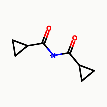 O=C([N]C(=O)C1CC1)C1CC1